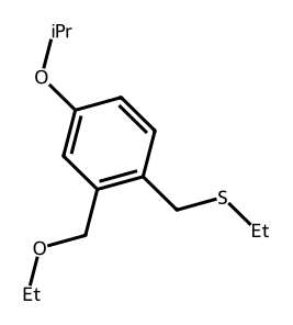 CCOCc1cc(OC(C)C)ccc1CSCC